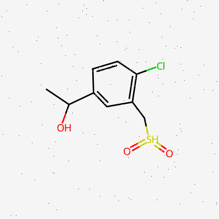 CC(O)c1ccc(Cl)c(C[SH](=O)=O)c1